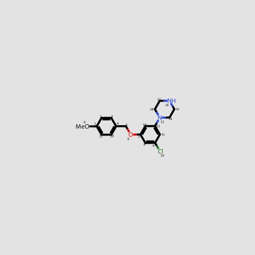 COc1ccc(COc2cc(Cl)cc(N3CCNCC3)c2)cc1